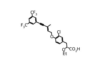 CCO[C@@H](Cc1ccc(OC/C=C(\C)C#Cc2cc(C(F)(F)F)cc(C(F)(F)F)c2)c(Cl)c1)C(=O)O